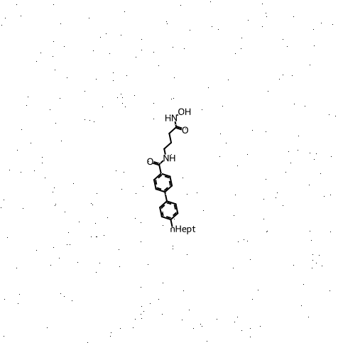 CCCCCCCc1ccc(-c2ccc(C(=O)NCCCC(=O)NO)cc2)cc1